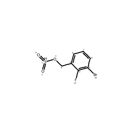 O=[SH](=O)O[CH]c1cccc(Br)c1F